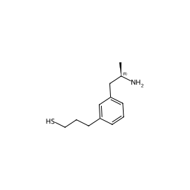 C[C@@H](N)Cc1cccc(CCCS)c1